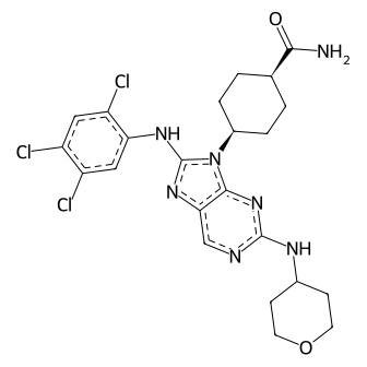 NC(=O)[C@H]1CC[C@@H](n2c(Nc3cc(Cl)c(Cl)cc3Cl)nc3cnc(NC4CCOCC4)nc32)CC1